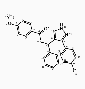 COc1ccc(C(=O)NC(c2ccccc2)c2c[nH]nc2-c2ccc(Cl)cc2)cc1